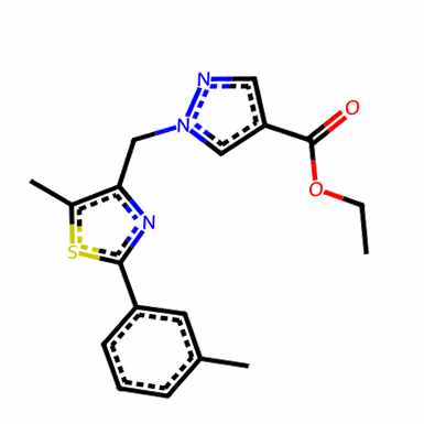 CCOC(=O)c1cnn(Cc2nc(-c3cccc(C)c3)sc2C)c1